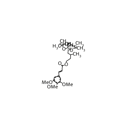 COc1cc(/C=C/C(=O)OCCC(C)C[Si](C)(O[Si](C)(C)C)O[Si](C)(C)C)cc(OC)c1OC